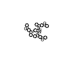 c1ccc2c(c1)oc1cc3c4ccccc4n(-c4ccc5c(-n6c7ccccc7c7cc8oc9ccccc9c8cc76)nnc(-n6c7ccccc7c7cc8oc9ccccc9c8cc76)c5c4)c3cc12